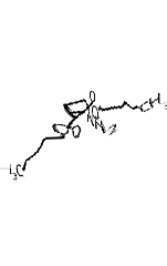 CCCCCCOC(=O)C1C2CCC(N)(C(=O)OCCCCCC)C21